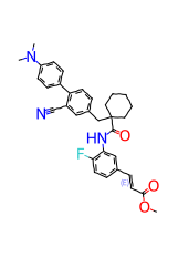 COC(=O)/C=C/c1ccc(F)c(NC(=O)C2(Cc3ccc(-c4ccc(N(C)C)cc4)c(C#N)c3)CCCCC2)c1